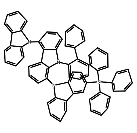 c1ccc(-c2ccccc2-n2c3cccc(-n4c5ccccc5c5ccccc54)c3c3cccc(-n4c5ccccc5c5cc([Si](c6ccccc6)(c6ccccc6)c6ccccc6)ccc54)c32)cc1